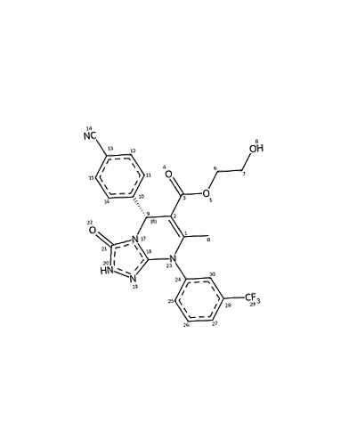 CC1=C(C(=O)OCCO)[C@@H](c2ccc(C#N)cc2)n2c(n[nH]c2=O)N1c1cccc(C(F)(F)F)c1